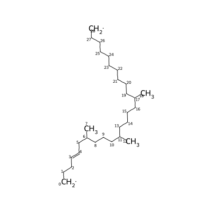 [CH2]CC/C=C/CC(C)CCCC(C)CCCCC(C)CCCCCCCCC[CH2]